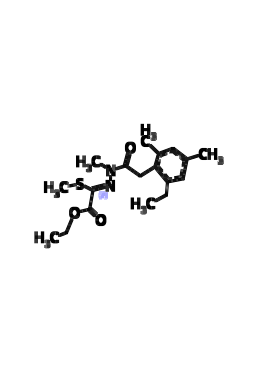 CCOC(=O)/C(=N/N(C)C(=O)Cc1c(C)cc(C)cc1CC)SC